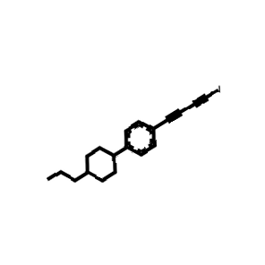 CCCC1CCC(c2ccc(C#CC#CI)cc2)CC1